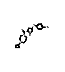 N#Cc1ccc(O[C@H]2CN[C@H](C(=O)N3CCCN(C4CCC4)CC3)C2)cc1